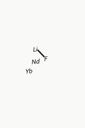 [Li][F].[Nd].[Yb]